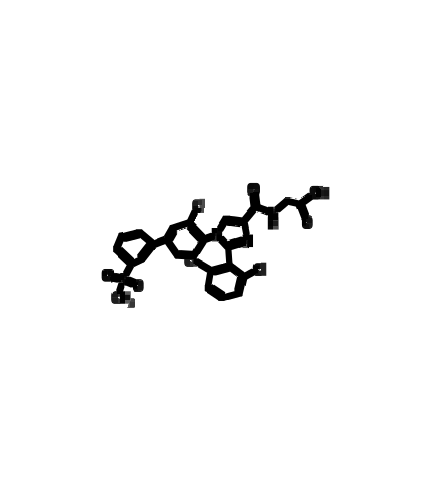 CS(=O)(=O)c1cccc(-c2ccc(-n3cc(C(=O)NCC(=O)O)nc3-c3c(Cl)cccc3Cl)c(Cl)c2)c1